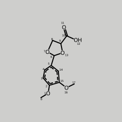 COc1ccc(C2OCC(C(=O)O)O2)cc1OC